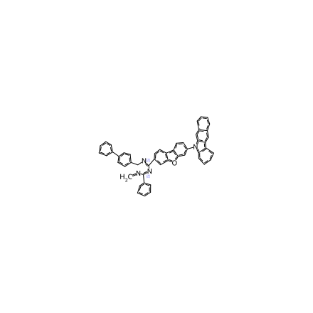 C=N/C(=N\C(=N/Cc1ccc(-c2ccccc2)cc1)c1ccc2c(c1)oc1cc(-n3c4ccccc4c4cc5ccccc5cc43)ccc12)c1ccccc1